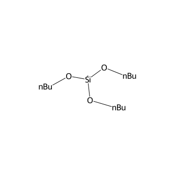 CCCCO[Si](OCCCC)OCCCC